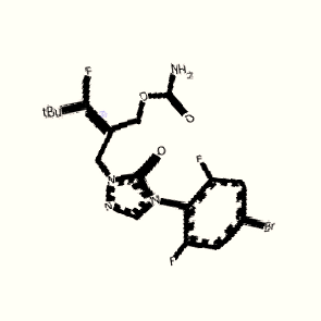 CC(C)(C)/C(F)=C(/COC(N)=O)Cn1ncn(-c2c(F)cc(Br)cc2F)c1=O